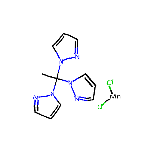 CC(n1cccn1)(n1cccn1)n1cccn1.[Cl][Mn][Cl]